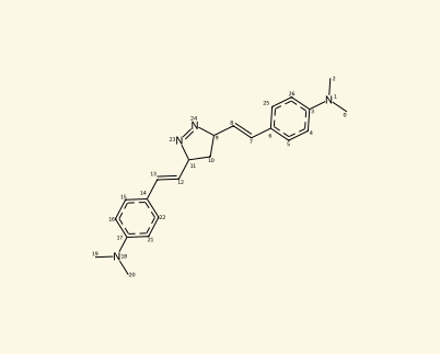 CN(C)c1ccc(C=CC2CC(C=Cc3ccc(N(C)C)cc3)N=N2)cc1